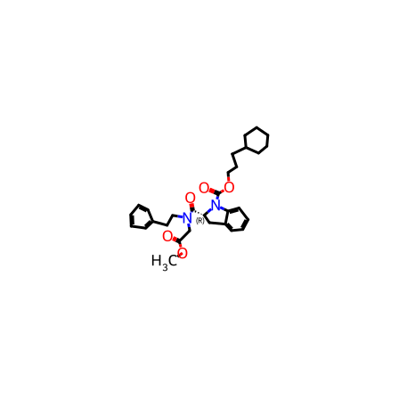 COC(=O)CN(CCc1ccccc1)C(=O)[C@H]1Cc2ccccc2N1C(=O)OCCCC1CCCCC1